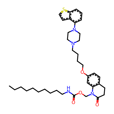 CCCCCCCCCCNC(=O)OCN1C(=O)CCc2ccc(OCCCCN3CCN(c4cccc5sccc45)CC3)cc21